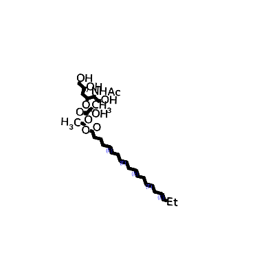 CC/C=C/C/C=C/C/C=C/C/C=C/C/C=C/CCCC(=O)OC(C)OC(=O)[C@](C)(O)OC(C[C@H](O)CO)C(CO)NC(C)=O